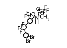 CC(CS(=O)(=O)CC(F)(F)F)NC(=O)c1ccc(/C(F)=C/C(c2ccc(Br)c(Br)c2)C(F)(F)F)cc1C(F)(F)F